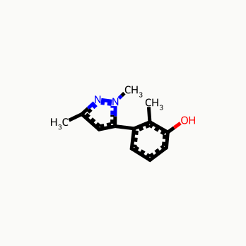 Cc1cc(-c2cccc(O)c2C)n(C)n1